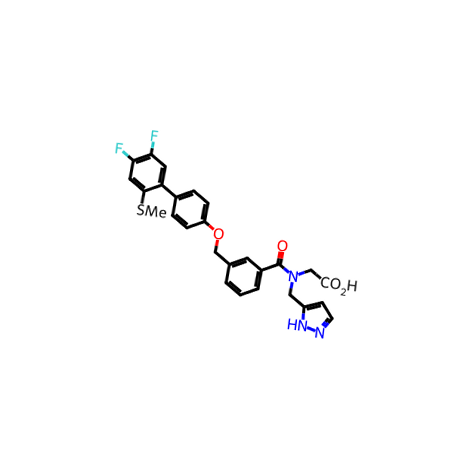 CSc1cc(F)c(F)cc1-c1ccc(OCc2cccc(C(=O)N(CC(=O)O)Cc3ccn[nH]3)c2)cc1